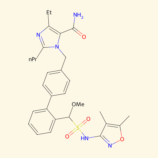 CCCc1nc(CC)c(C(N)=O)n1Cc1ccc(-c2ccccc2C(OC)S(=O)(=O)Nc2noc(C)c2C)cc1